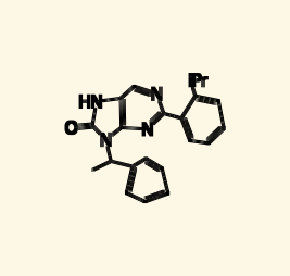 CC(C)c1ccccc1-c1ncc2[nH]c(=O)n(C(C)c3ccccc3)c2n1